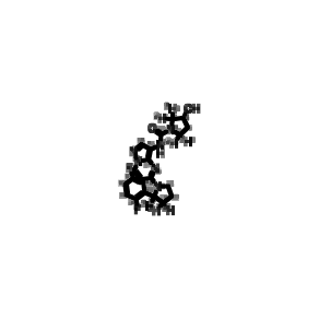 [2H]C1([2H])C[C@H](O)C([2H])([2H])N1C(=O)Nc1cnn2ccc(N3CCC([2H])([2H])C3([2H])c3cc(F)ccc3F)nc12